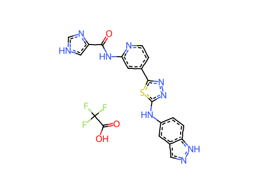 O=C(Nc1cc(-c2nnc(Nc3ccc4[nH]ncc4c3)s2)ccn1)c1c[nH]cn1.O=C(O)C(F)(F)F